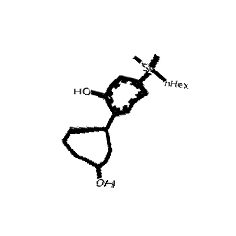 CCCCCC[Si](C)(C)c1ccc(C2CCCC(O)C2)c(O)c1